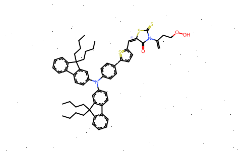 C=C(CCOO)N1C(=O)/C(=C\c2ccc(-c3ccc(N(c4ccc5c(c4)C(CCCC)(CCCC)c4ccccc4-5)c4ccc5c(c4)C(CCCC)(CCCC)c4ccccc4-5)cc3)s2)SC1=S